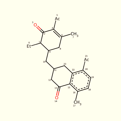 CCC1C(=O)C(C(C)=O)=C(C)CC1CC1CC(=O)c2c(C)ccc(C(C)=O)c2C1